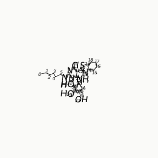 CCCCCCNc1nc(Cl)c(-c2nc3ccccc3s2)c(N[C@@H]2C[C@H](CO)[C@@H](O)[C@H]2O)n1